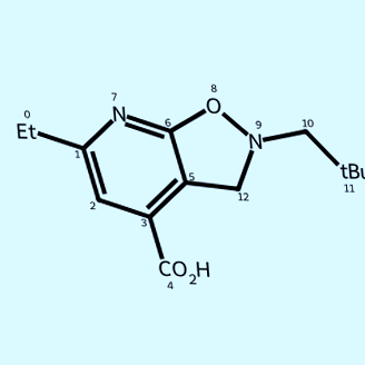 CCc1cc(C(=O)O)c2c(n1)ON(CC(C)(C)C)C2